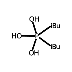 CCC(C)P(O)(O)(O)C(C)CC